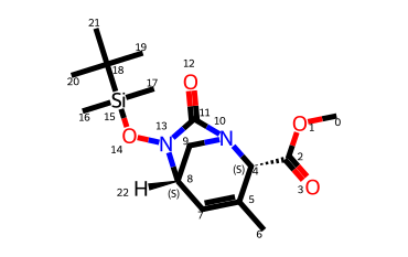 COC(=O)[C@@H]1C(C)=C[C@H]2CN1C(=O)N2O[Si](C)(C)C(C)(C)C